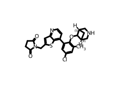 Cc1cc(Cl)cc(-c2ccnc3cc(CN4C(=O)CCC4=O)sc23)c1OC1[C@@H]2CNC[C@H]1C2